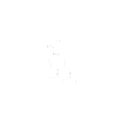 CNC(=O)/C=C1/CCc2cc(F)cc(F)c21